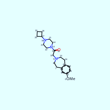 COc1ccc2c(c1)CCN(CC(=O)N1CCN(C3CCC3)CC1)CC2